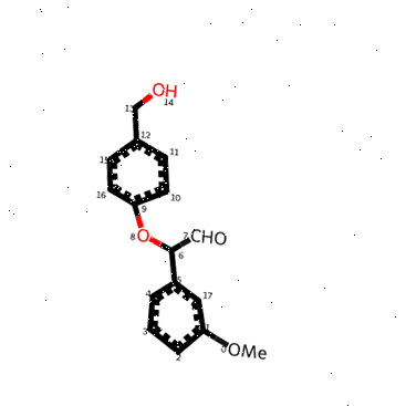 COc1cccc(C(C=O)Oc2ccc(CO)cc2)c1